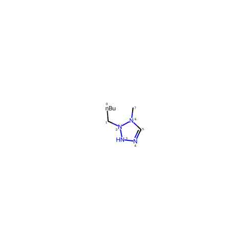 CCCCCN1NN=[C]N1C